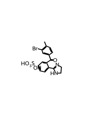 Cc1ccc(C(=O)c2ccccc2C2=NCCN2)cc1Br.O=S(=O)(O)O